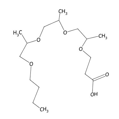 CCCCOCC(C)OCC(C)OCC(C)OCCC(=O)O